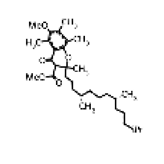 COC(=O)C1C(=O)c2c(C)c(OC)c(C)c(C)c2OC1(C)CCC[C@@H](C)CCC[C@H](C)CCCC(C)C